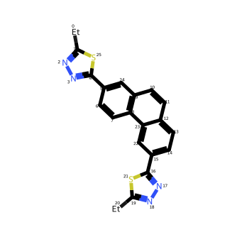 CCc1nnc(-c2ccc3c(ccc4ccc(-c5nnc(CC)s5)cc43)c2)s1